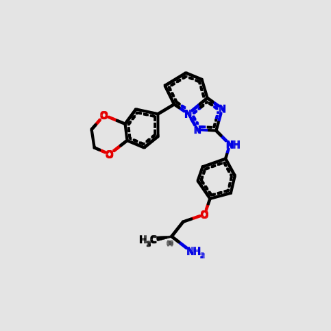 C[C@H](N)COc1ccc(Nc2nc3cccc(-c4ccc5c(c4)OCCO5)n3n2)cc1